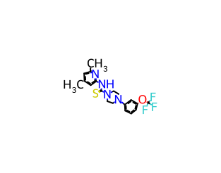 Cc1cc(C)nc(NC(=S)N2CCN(c3cccc(OC(F)(F)F)c3)CC2)c1